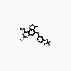 CC1COc2c1c(Oc1cccc(OC(F)(F)F)c1)cc1nc(N)nc(N)c21